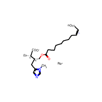 CCCCCCCC/C=C\CCCCCCCC(=O)OC[C@H](Cc1cncn1C)[C@H](CC)C(=O)[O-].[Na+]